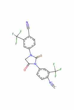 [C-]#[N+]c1ccc(N2C(=O)CN(c3ccc(C#N)c(C(F)(F)F)c3)C2=S)cc1C(F)(F)F